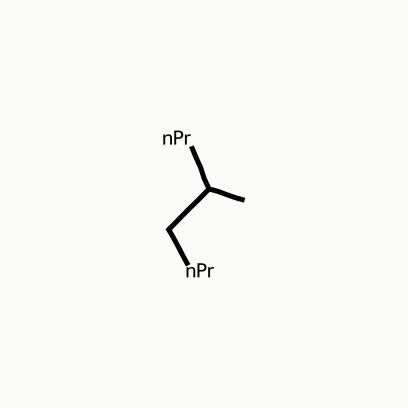 CCCCC(C)CCC